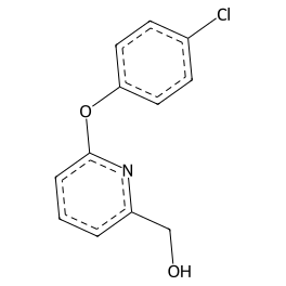 OCc1cccc(Oc2ccc(Cl)cc2)n1